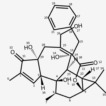 CC1=C[C@H]2[C@@]3(O)[C@H](C)C[C@]4(OC(=O)[C@H](O)Cc5ccccc5)[C@H]([C@@H]3C=C(CO)C[C@]2(O)C1=O)C4(C)C